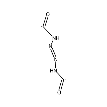 O=[C]NN=NN[C]=O